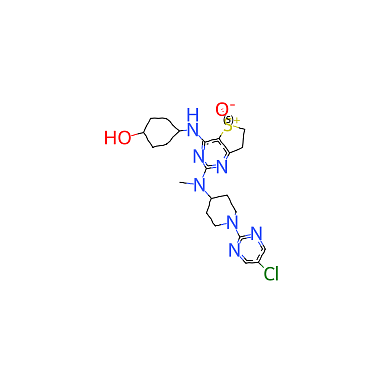 CN(c1nc2c(c(NC3CCC(O)CC3)n1)[S@+]([O-])CC2)C1CCN(c2ncc(Cl)cn2)CC1